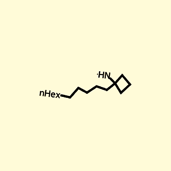 CCCCCCCCCCCC1([NH])CCC1